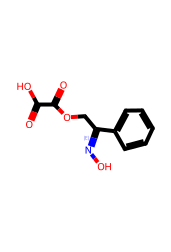 O=C(O)C(=O)OC/C(=N/O)c1ccccc1